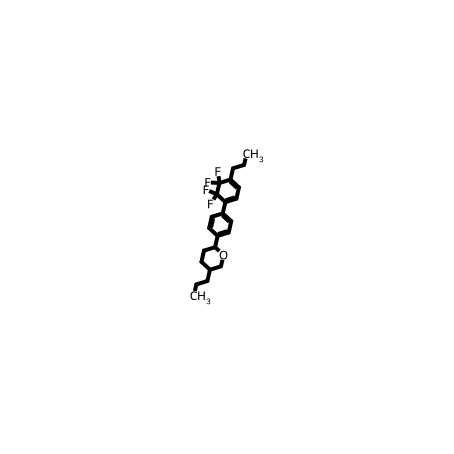 CCCC1=CC=C(c2ccc(C3CCC(CCC)CO3)cc2)C(F)(F)C1(F)F